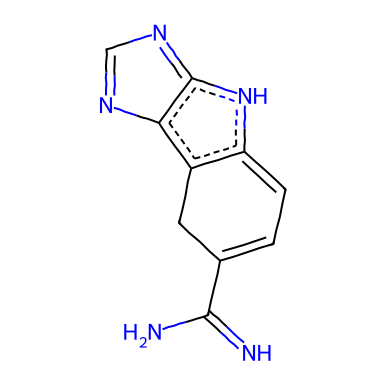 N=C(N)C1=CC=c2[nH]c3c(c2C1)N=CN=3